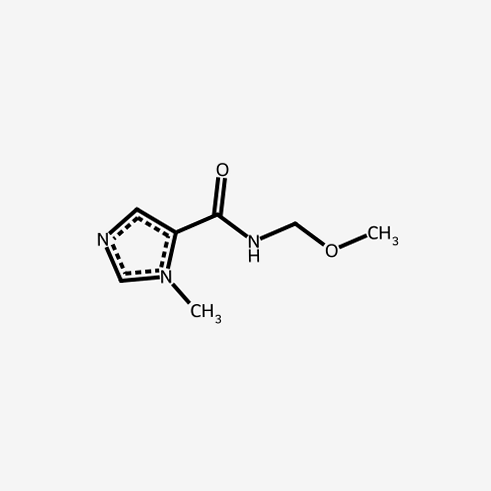 COCNC(=O)c1cncn1C